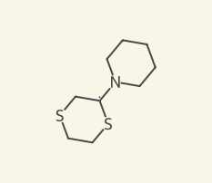 C1CCN([C]2CSCCS2)CC1